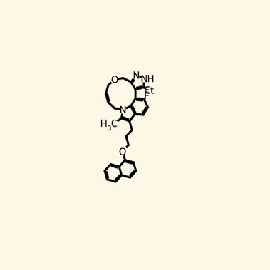 CCc1[nH]nc2c1-c1c(F)ccc3c(CCCOc4cccc5ccccc45)c(C)n(c13)C/C=C\COC2